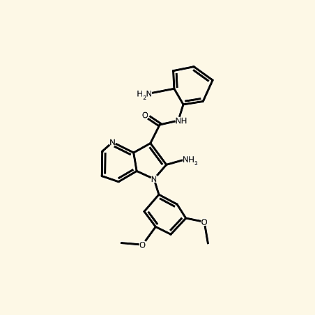 COc1cc(OC)cc(-n2c(N)c(C(=O)Nc3ccccc3N)c3ncccc32)c1